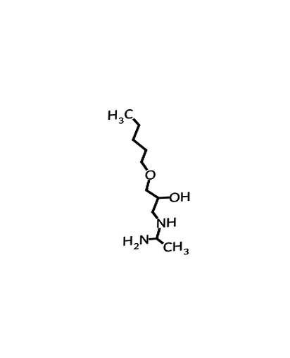 CCCCCOCC(O)CNC(C)N